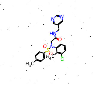 Cc1ccc(S(=O)(=O)N(CC(=O)NCc2cncnc2)c2cccc(Cl)c2C)cc1